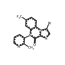 Cc1ncccc1-n1c(=O)c2ncc(Br)n2c2ccc(C(F)(F)F)cc21